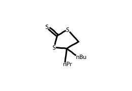 CCCCC1(CCC)CSC(=S)S1